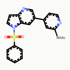 CC(=O)Nc1cc(-c2cnc3ccn(S(=O)(=O)c4ccccc4)c3c2)ccn1